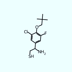 CC(C)(C)COc1c(F)cc(C(N)CS)cc1Cl